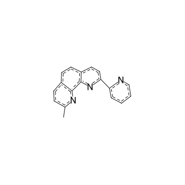 Cc1ccc2ccc3ccc(-c4ccccn4)nc3c2n1